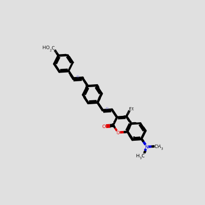 CCc1c(/C=C/c2ccc(/C=C/c3ccc(C(=O)O)cc3)cc2)c(=O)oc2cc(N(C)C)ccc12